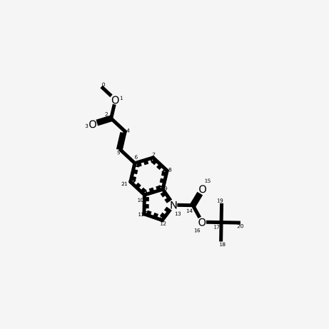 COC(=O)C=Cc1ccc2c(ccn2C(=O)OC(C)(C)C)c1